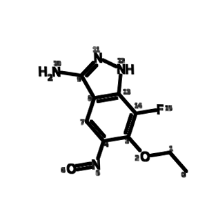 CCOc1c(N=O)cc2c(N)n[nH]c2c1F